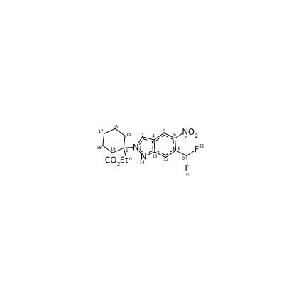 CCOC(=O)C1(n2cc3cc([N+](=O)[O-])c(C(F)F)cc3n2)CCCCC1